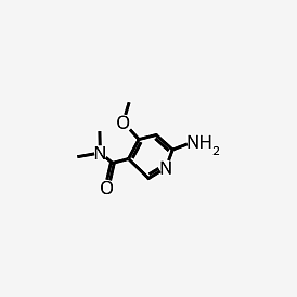 COc1cc(N)ncc1C(=O)N(C)C